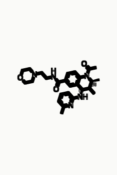 CC(=O)N1c2ccc(C(=O)NCCN3CCOCC3)cc2[C@H](Nc2cccc(C)n2)C(C)[C@@H]1C